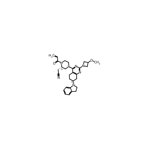 C=CC(=O)N1CCN(c2nc(N3CC(OC)C3)nc3c2CC[C@H](N2CCc4ccccc42)C3)C[C@@H]1CC#N